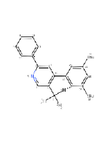 [2H]C([2H])([2H])c1cnc(-c2ccccc2)cc1-c1cc(C(C)(C)C)cc(C(C)(C)C)c1